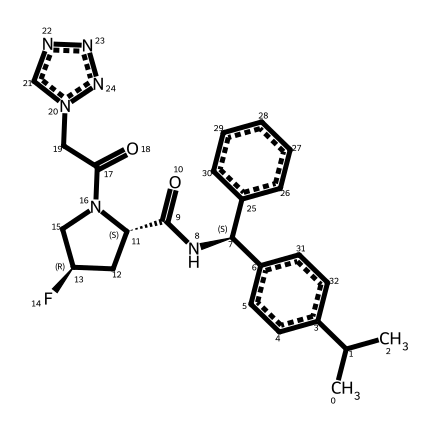 CC(C)c1ccc([C@@H](NC(=O)[C@@H]2C[C@@H](F)CN2C(=O)Cn2cnnn2)c2ccccc2)cc1